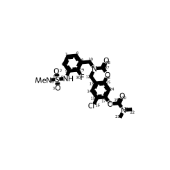 CNS(=O)(=O)Nc1cccc(CN2Cc3cc(Cl)c(OC(=O)N(C)C)cc3OC2=O)c1F